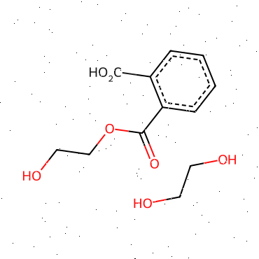 O=C(O)c1ccccc1C(=O)OCCO.OCCO